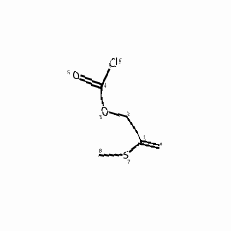 C=C(COC(=O)Cl)SC